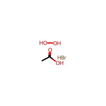 Br.CC(=O)O.OO